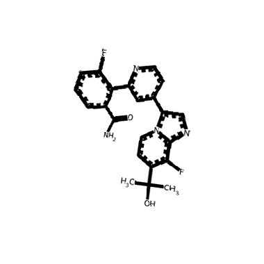 CC(C)(O)c1ccn2c(-c3ccnc(-c4c(F)cccc4C(N)=O)c3)cnc2c1F